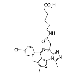 Cc1sc2c(c1C)C(c1ccc(Cl)cc1)=N[C@@H](CC(=O)NCCCCCC(=O)O)c1nnc(C)n1-2